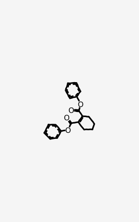 O=C(Oc1ccccc1)C1=C(C(=O)Oc2ccccc2)CCCC1